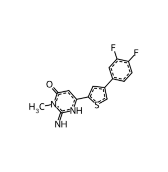 Cn1c(=O)cc(-c2cc(-c3ccc(F)c(F)c3)cs2)[nH]c1=N